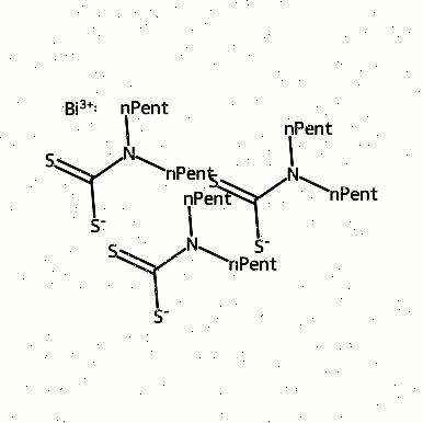 CCCCCN(CCCCC)C(=S)[S-].CCCCCN(CCCCC)C(=S)[S-].CCCCCN(CCCCC)C(=S)[S-].[Bi+3]